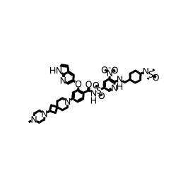 CN1CCN(C2CC3(CCN(c4ccc(C(=O)NS(=O)(=O)c5cnc(NCC6CCC(N=S(C)(C)=O)CC6)c([N+](=O)[O-])c5)c(Oc5cnc6[nH]ccc6c5)c4)CC3)C2)CC1